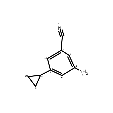 N#Cc1cc(N)cc(C2CC2)c1